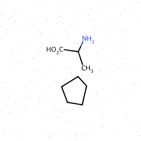 C1CCCC1.CC(N)C(=O)O